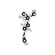 Cc1c(COc2cc(OCc3cncc(C#N)c3)c(CN3CCCC[C@H]3C(=O)O)cc2Cl)cccc1-c1cccc(OCCCN2CC3(CCC(O)CC3)C2)c1C